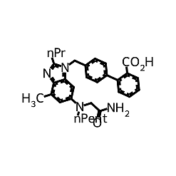 CCCCCN(CC(N)=O)c1cc(C)c2nc(CCC)n(Cc3ccc(-c4ccccc4C(=O)O)cc3)c2c1